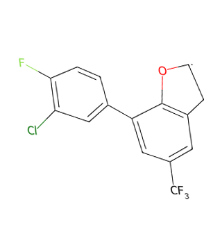 Fc1ccc(-c2cc(C(F)(F)F)cc3c2O[CH]C3)cc1Cl